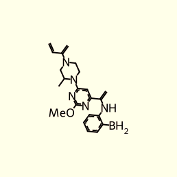 Bc1ccccc1NC(=C)c1cc(N2CCN(C(=C)C=C)CC2C)nc(OC)n1